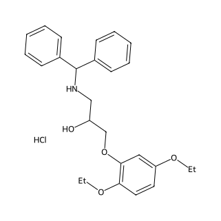 CCOc1ccc(OCC)c(OCC(O)CNC(c2ccccc2)c2ccccc2)c1.Cl